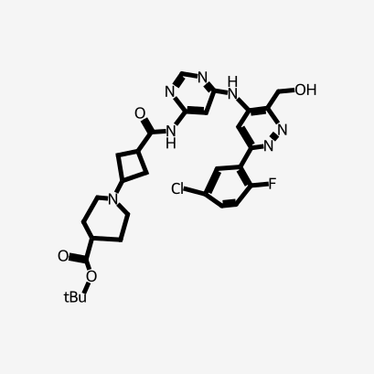 CC(C)(C)OC(=O)C1CCN(C2CC(C(=O)Nc3cc(Nc4cc(-c5cc(Cl)ccc5F)nnc4CO)ncn3)C2)CC1